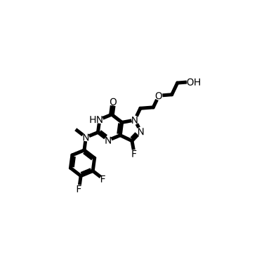 CN(c1ccc(F)c(F)c1)c1nc2c(F)nn(CCOCCO)c2c(=O)[nH]1